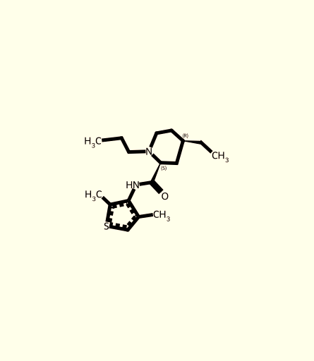 CCCN1CC[C@@H](CC)C[C@H]1C(=O)Nc1c(C)csc1C